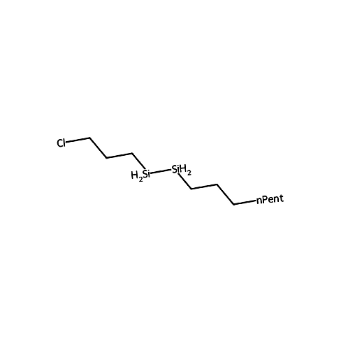 CCCCCCCC[SiH2][SiH2]CCCCl